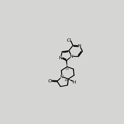 O=C1CC[C@H]2CC[C@H](c3ncc4c(Cl)nccn34)CN12